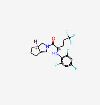 O=C([C@@H](CCC(F)(F)F)Nc1c(F)cc(F)cc1F)N1C=C2CCC[C@H]2C1